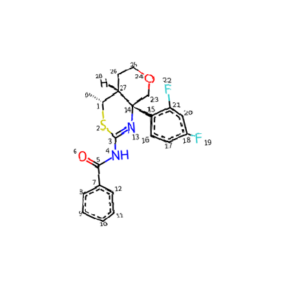 C[C@H]1SC(NC(=O)c2ccccc2)=N[C@@]2(c3ccc(F)cc3F)COCC[C@@H]12